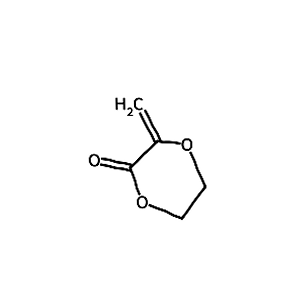 C=C1OCCOC1=O